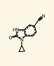 N#Cc1ccc2c(c1)[nH]c(=O)n2C1CC1